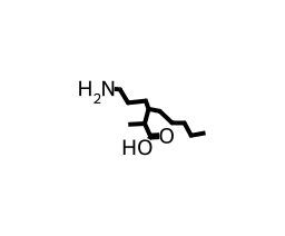 CCCCCC(CCCN)C(C)C(=O)O